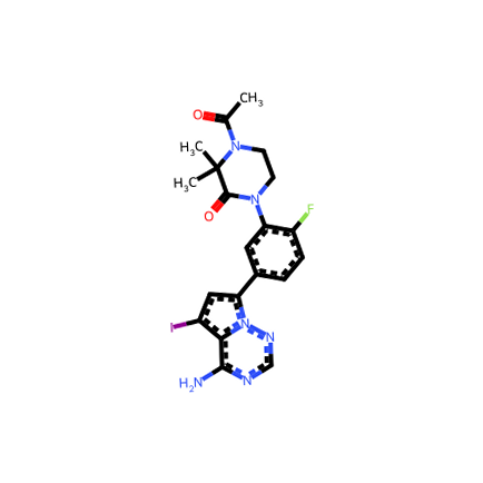 CC(=O)N1CCN(c2cc(-c3cc(I)c4c(N)ncnn34)ccc2F)C(=O)C1(C)C